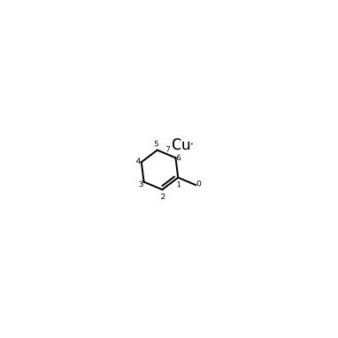 CC1=CCCCC1.[Cu]